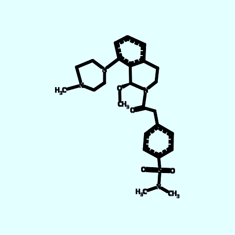 CO[C@H]1c2c(cccc2N2CCN(C)CC2)CCN1C(=O)Cc1ccc(S(=O)(=O)N(C)C)cc1